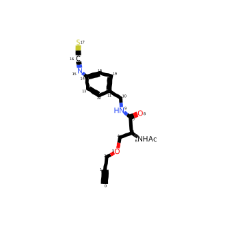 C#CCOCC(NC(C)=O)C(=O)NCc1ccc(N=C=S)cc1